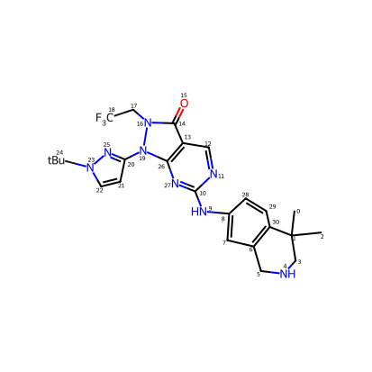 CC1(C)CNCc2cc(Nc3ncc4c(=O)n(CC(F)(F)F)n(-c5ccn(C(C)(C)C)n5)c4n3)ccc21